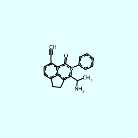 C#Cc1ccc2c3c(c(C(C)N)n(-c4ccccc4)c(=O)c13)CC2